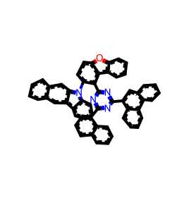 c1ccc2cc3c(cc2c1)c1ccccc1n3-c1ccc2oc3ccccc3c2c1-c1nc(-c2cccc3ccccc23)nc(-c2cc3ccccc3c3ccccc23)n1